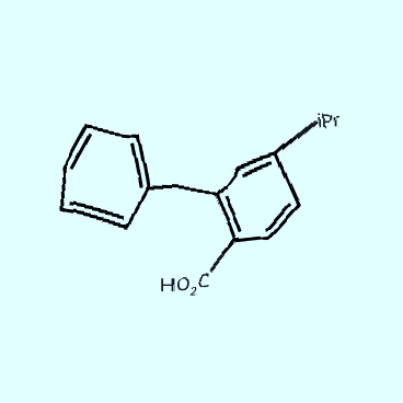 CC(C)c1ccc(C(=O)O)c(-c2ccccc2)c1